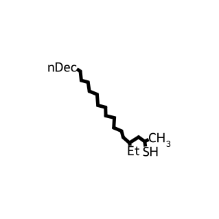 CCCCCCCCCCCCCCCCCCCCCCC(CC)CC(C)S